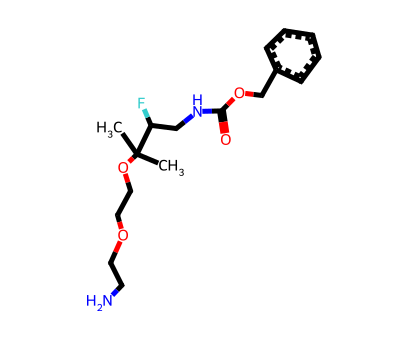 CC(C)(OCCOCCN)C(F)CNC(=O)OCc1ccccc1